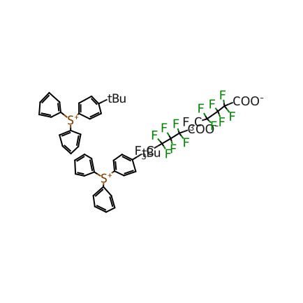 CC(C)(C)c1ccc([S+](c2ccccc2)c2ccccc2)cc1.CC(C)(C)c1ccc([S+](c2ccccc2)c2ccccc2)cc1.O=C([O-])C(F)(F)C(F)(F)C(F)(F)C(F)(F)F.O=C([O-])C(F)(F)C(F)(F)C(F)(F)C(F)(F)F